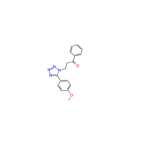 COc1ccc(-c2nnnn2CCC(=O)c2ccccc2)cc1